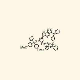 COc1ccc(C(OC[C@H]2O[C@@H](n3cnc4c(=O)n(C(=O)N(c5ccccc5)c5ccccc5)cnc43)C[C@@H]2O[P@]2O[C@H](CS(=O)(=O)c3ccccc3)[C@@H]3CCCN32)(c2ccccc2)c2ccc(OC)cc2)cc1